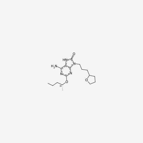 CCC[C@@H](C)Oc1nc(N)c2[nH]c(=O)n(CCCC3CCCO3)c2n1